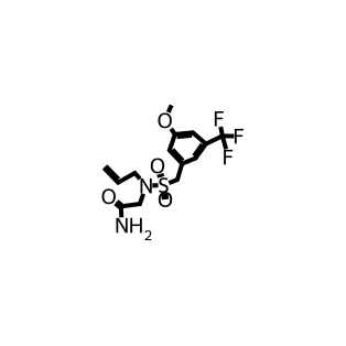 C=CCN(CC(N)=O)S(=O)(=O)Cc1cc(OC)cc(C(F)(F)F)c1